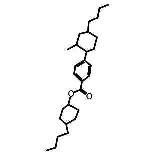 CCCCC1CCC(OC(=O)c2ccc(C3CCC(CCCC)CC3C)cc2)CC1